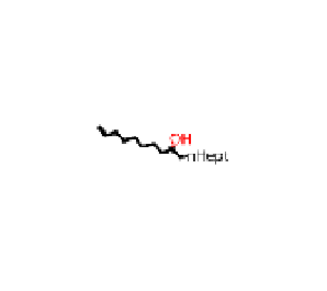 C=CCCCCCC[C@@H](O)CCCCCCCC